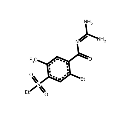 CCc1cc(S(=O)(=O)CC)c(C(F)(F)F)cc1C(=O)N=C(N)N